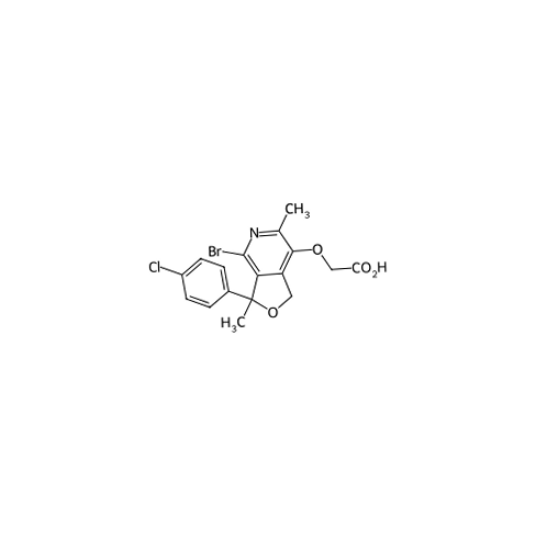 Cc1nc(Br)c2c(c1OCC(=O)O)COC2(C)c1ccc(Cl)cc1